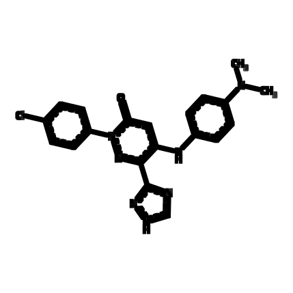 CN(C)c1ccc(Nc2cc(=O)n(-c3ccc(Cl)cc3)nc2-c2nc[nH]n2)cc1